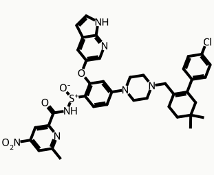 Cc1cc([N+](=O)[O-])cc(C(=O)N[S+]([O-])c2ccc(N3CCN(CC4=C(c5ccc(Cl)cc5)CC(C)(C)CC4)CC3)cc2Oc2cnc3[nH]ccc3c2)n1